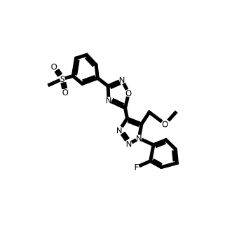 COCc1c(-c2nc(-c3cccc(S(C)(=O)=O)c3)no2)nnn1-c1ccccc1F